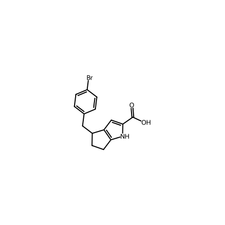 O=C(O)c1cc2c([nH]1)CCC2Cc1ccc(Br)cc1